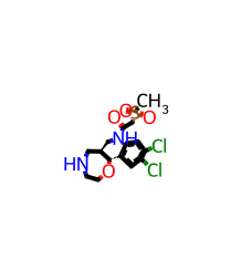 CS(=O)(=O)CC(=O)NC[C@@H]1CNCCO[C@H]1c1ccc(Cl)c(Cl)c1